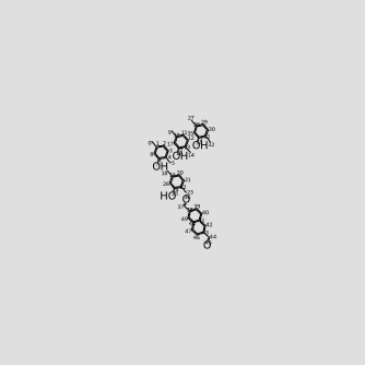 Cc1ccc(C)c(O)c1.Cc1ccc(C)c(O)c1.Cc1ccc(C)c(O)c1.Cc1ccc(C)c(O)c1.O=Cc1ccc2cc(C=O)ccc2c1